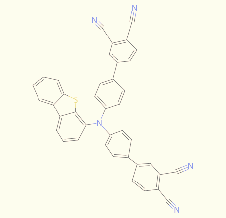 N#Cc1ccc(-c2ccc(N(c3ccc(-c4ccc(C#N)c(C#N)c4)cc3)c3cccc4c3sc3ccccc34)cc2)cc1C#N